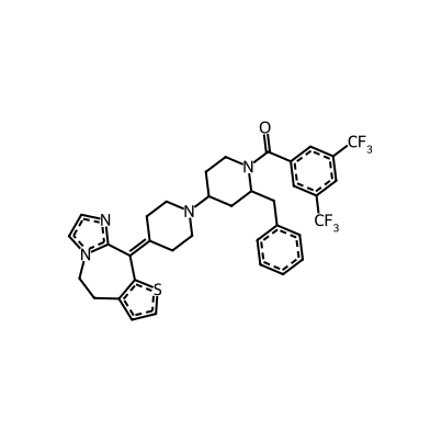 O=C(c1cc(C(F)(F)F)cc(C(F)(F)F)c1)N1CCC(N2CCC(=C3c4sccc4CCn4ccnc43)CC2)CC1Cc1ccccc1